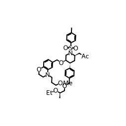 CCO[C@H](C)COCc1ccc([C@H]2C[C@H](CC(C)=O)N(S(=O)(=O)c3ccc(C)cc3)C[C@@H]2OCc2ccc3c(c2)N(CCCOC)CCO3)cc1